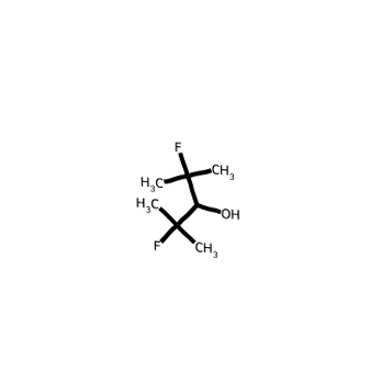 CC(C)(F)C(O)C(C)(C)F